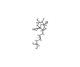 CC1[C@H](C)C[C@]2(O)C[C@H]1O[C@H]2C/C=C/CC(C)(C)C